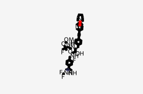 COC(=O)NC(C(=O)N[C@@H](Cc1ccc(C#Cc2ccc(N3CC4CCC(C3)N4C3COC3)nc2)cc1)[C@@H](O)CNCc1ccc(/C(C=N)=C/NC(F)F)cc1F)C(C)(C)CF